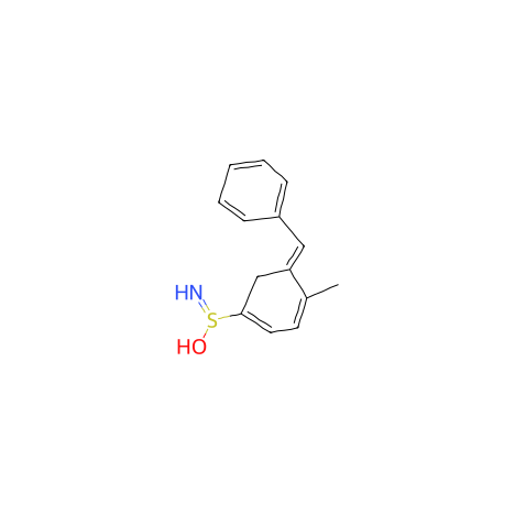 CC1=CC=C(S(=N)O)CC1=Cc1ccccc1